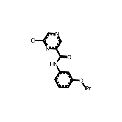 CC(C)Oc1cccc(NC(=O)c2cncc(Cl)n2)c1